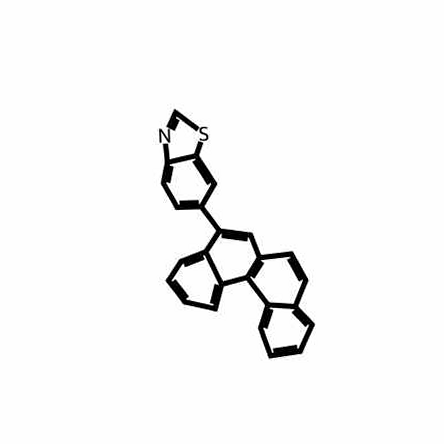 c1ccc2c(c1)ccc1cc(-c3ccc4ncsc4c3)c3ccccc3c12